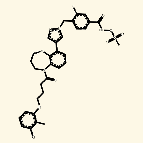 Cc1c(Cl)cccc1OCCCC(=O)N1CCCOc2c(-c3cnn(Cc4ccc(C(=O)NOS(C)(=O)=O)cc4F)c3)cccc21